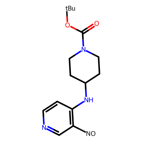 CC(C)(C)OC(=O)N1CCC(Nc2ccncc2N=O)CC1